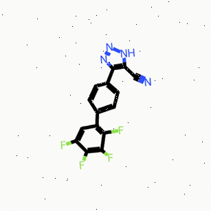 N#Cc1[nH]nnc1-c1ccc(-c2cc(F)c(F)c(F)c2F)cc1